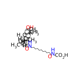 C=C(C)[C@@H]1CC[C@]2(C(=O)NCCCCCCCCCCC(=O)NCC(=O)O)CC[C@]3(C)[C@H](CCC4[C@@]5(C)CC[C@H](O)C(C)(C)[C@@H]5CC[C@]43C)[C@@H]12